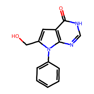 O=c1[nH]cnc2c1cc(CO)n2-c1ccccc1